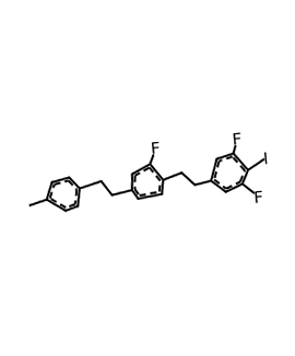 Cc1ccc(CCc2ccc(CCc3cc(F)c(I)c(F)c3)c(F)c2)cc1